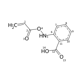 C=CC(=O)ONc1ccccc1C(=O)O